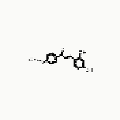 CCCCCCCCCCSc1ccc(C(=O)/C=C/c2ccc(O)cc2O)cc1